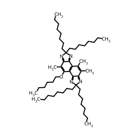 CCCCCCCCC1(CCCCCCCC)N=c2c(C)c(OCCCCCC)c3c4c(c(C)c(C)c3c2=N1)=NC(CCCCCCCC)(CCCCCCCC)N=4